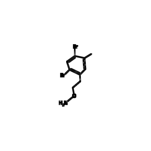 Cc1cc(CCON)c(Br)cc1Br